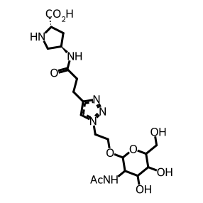 CC(=O)NC1C(OCCn2cc(CCC(=O)N[C@H]3CN[C@H](C(=O)O)C3)nn2)OC(CO)C(O)C1O